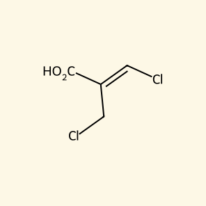 O=C(O)/C(=C/Cl)CCl